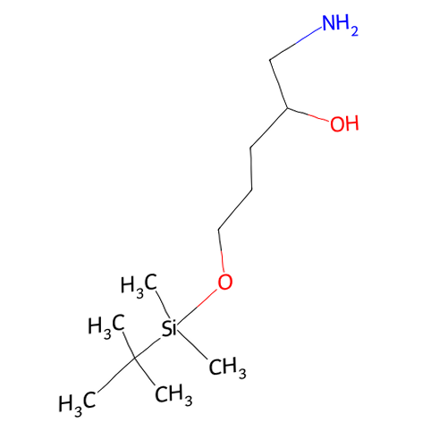 CC(C)(C)[Si](C)(C)OCCCC(O)CN